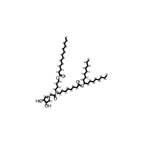 CCCCCCCCCCCCCC(=O)OCCCCN(CCCCCCCC(=O)OC(CCCCCCCC)CCCCCCCC)C(=O)CN1C[C@@H](O)[C@@H](O)C1